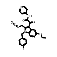 CCOc1ccc2c(c1)c(C(=O)C(=O)Nc1ccncc1)c(CN=C=O)n2Cc1ccc(F)cc1